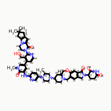 C[C@H]1CN([C@@H]2CCN3Cc4cc5c(cc4OC[C@H]3C2)C(=O)N(C2CCC(=O)NC2=O)C5)CCN1c1ccc(Nc2cc(-c3ccnc(N4CCn5c(cc6c5CC(C)(C)C6)C4=O)c3CO)cn(C)c2=O)nc1